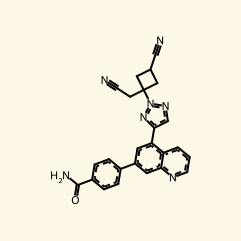 N#CCC1(n2ncc(-c3cc(-c4ccc(C(N)=O)cc4)cc4ncccc34)n2)CC(C#N)C1